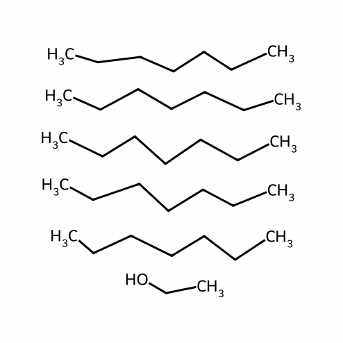 CCCCCCC.CCCCCCC.CCCCCCC.CCCCCCC.CCCCCCC.CCO